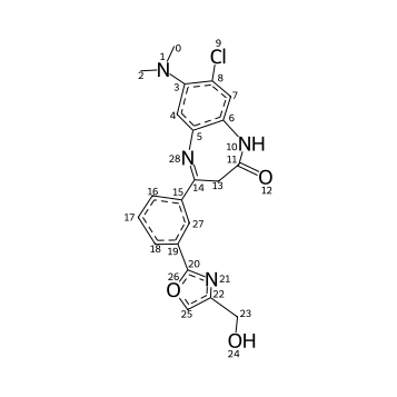 CN(C)c1cc2c(cc1Cl)NC(=O)CC(c1cccc(-c3nc(CO)co3)c1)=N2